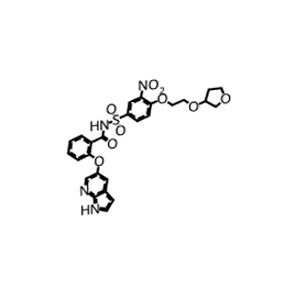 O=C(NS(=O)(=O)c1ccc(OCCOC2CCOC2)c([N+](=O)[O-])c1)c1ccccc1Oc1cnc2[nH]ccc2c1